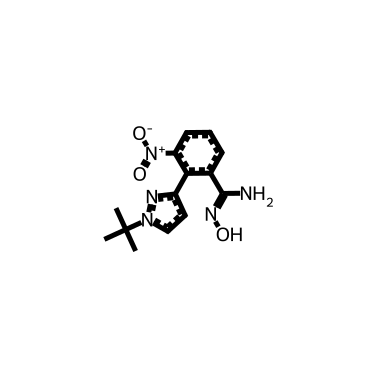 CC(C)(C)n1ccc(-c2c(C(N)=NO)cccc2[N+](=O)[O-])n1